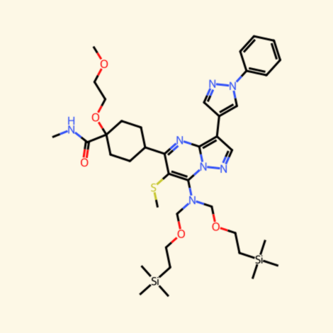 CNC(=O)C1(OCCOC)CCC(c2nc3c(-c4cnn(-c5ccccc5)c4)cnn3c(N(COCC[Si](C)(C)C)COCC[Si](C)(C)C)c2SC)CC1